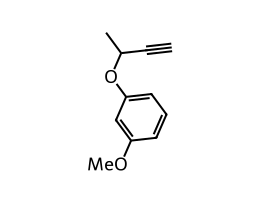 C#CC(C)Oc1cccc(OC)c1